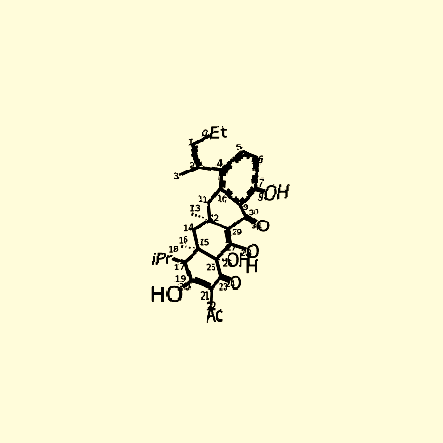 CC/C=C(/C)c1ccc(O)c2c1C[C@]1(C)C[C@]3(C)C(C(C)C)C(O)=C(C(C)=O)C(=O)[C@]3(O)C(O)=C1C2=O